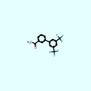 CC(=O)c1cccc(-c2cc(C(F)(F)F)cc(C(F)(F)F)c2)c1